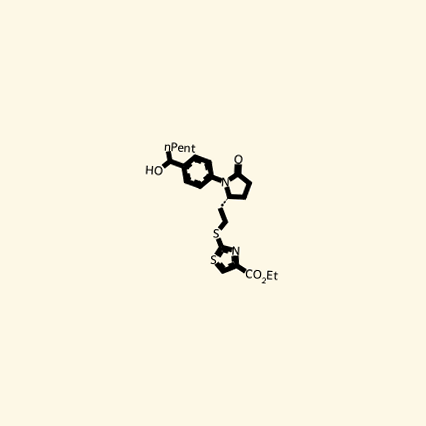 CCCCCC(O)c1ccc(N2C(=O)CC[C@@H]2CCSc2nc(C(=O)OCC)cs2)cc1